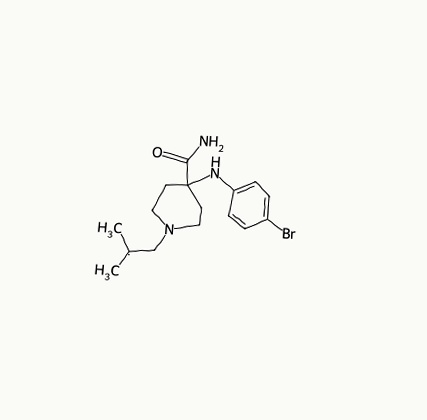 C[C](C)CN1CCC(Nc2ccc(Br)cc2)(C(N)=O)CC1